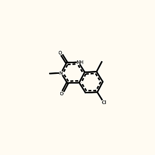 Cc1cc(Cl)cc2c(=O)n(C)c(=O)[nH]c12